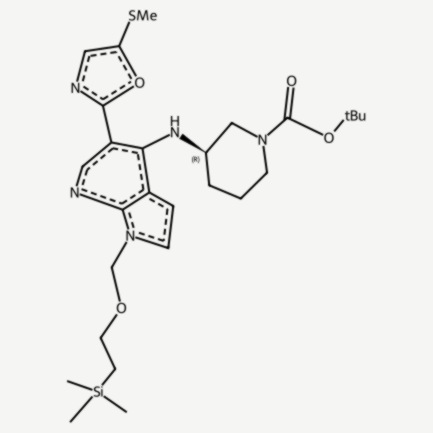 CSc1cnc(-c2cnc3c(ccn3COCC[Si](C)(C)C)c2N[C@@H]2CCCN(C(=O)OC(C)(C)C)C2)o1